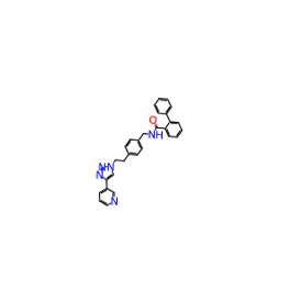 O=C(NCc1ccc(CCn2cc(-c3cccnc3)nn2)cc1)c1ccccc1-c1ccccc1